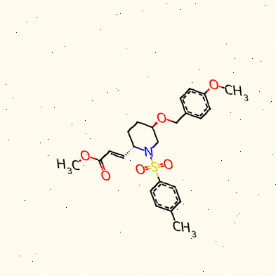 COC(=O)C=C[C@@H]1CC[C@@H](OCc2ccc(OC)cc2)CN1S(=O)(=O)c1ccc(C)cc1